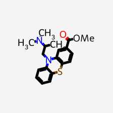 COC(=O)c1ccc2c(c1)N(CC(C)N(C)C)c1ccccc1S2